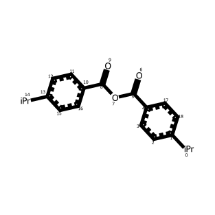 CC(C)c1ccc(C(=O)OC(=O)c2ccc(C(C)C)cc2)cc1